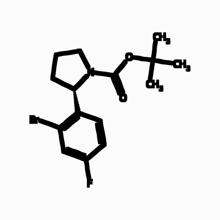 CC(C)(C)OC(=O)N1CCC[C@H]1c1ccc(F)cc1Br